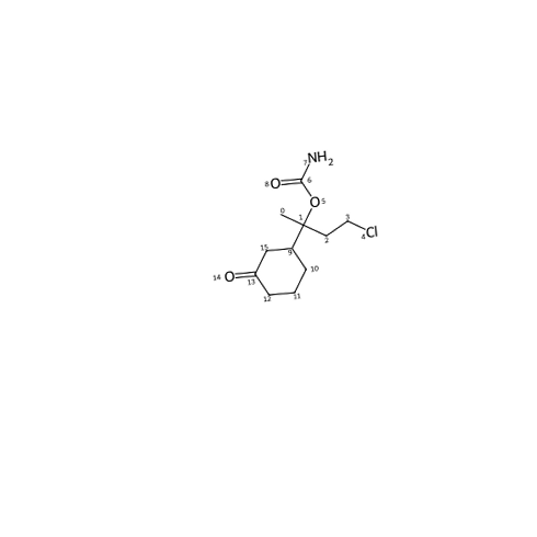 CC(CCCl)(OC(N)=O)C1CCCC(=O)C1